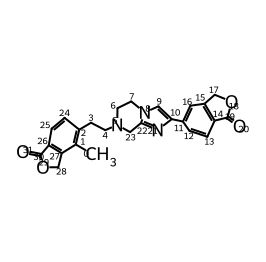 Cc1c(CCN2CCn3cc(-c4ccc5c(c4)COC5=O)nc3C2)ccc2c1COC2=O